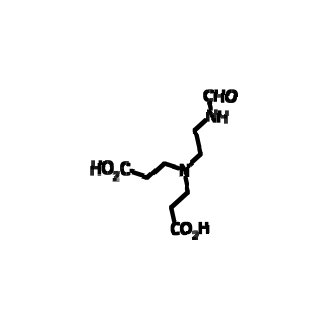 O=CNCCN(CCC(=O)O)CCC(=O)O